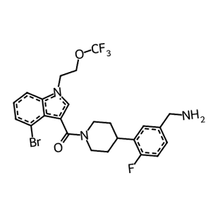 NCc1ccc(F)c(C2CCN(C(=O)c3cn(CCOC(F)(F)F)c4cccc(Br)c34)CC2)c1